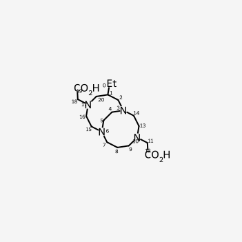 CCC1CN2CCN(CCCN(CC(=O)O)CC2)CCN(CC(=O)O)C1